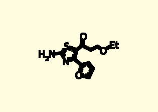 CCOCCC(=O)c1sc(N)nc1-c1ccco1